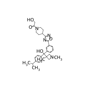 CC(C)c1ccc([C@](O)(c2cccc(-c3nc(C4CCN(C(=O)CO)CC4)no3)c2)C2(C)CN(C)C2)cc1